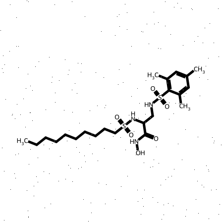 CCCCCCCCCCS(=O)(=O)NC(CNS(=O)(=O)c1c(C)cc(C)cc1C)C(=O)NO